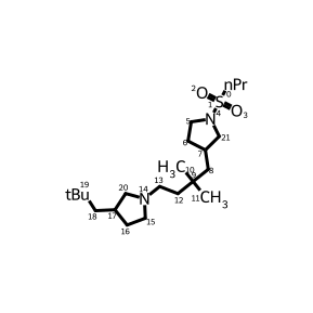 CCCS(=O)(=O)N1CCC(CC(C)(C)CCN2CCC(CC(C)(C)C)C2)C1